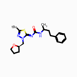 CC(CCc1ccccc1)NC(=O)/N=c1\sc(C(C)(C)C)nn1C[C@H]1CCCO1